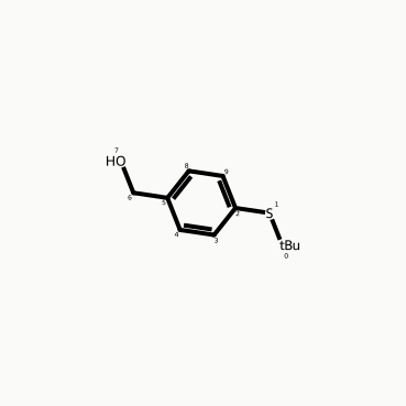 CC(C)(C)Sc1ccc(CO)cc1